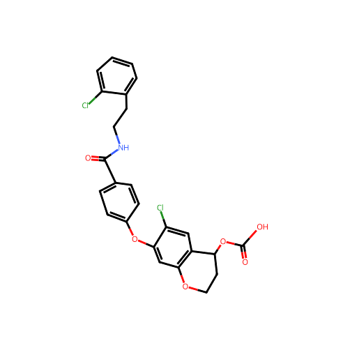 O=C(O)OC1CCOc2cc(Oc3ccc(C(=O)NCCc4ccccc4Cl)cc3)c(Cl)cc21